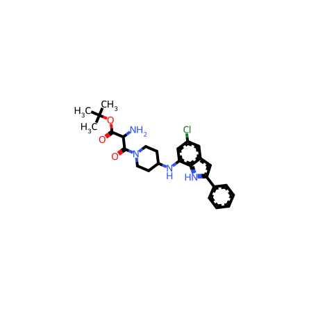 CC(C)(C)OC(=O)C(N)C(=O)N1CCC(Nc2cc(Cl)cc3cc(-c4ccccc4)[nH]c23)CC1